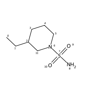 CCC1CCCN(S(N)(=O)=O)C1